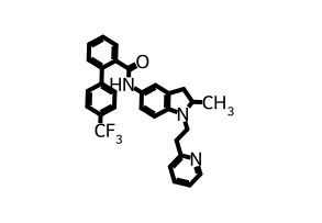 CC1Cc2cc(NC(=O)c3ccccc3-c3ccc(C(F)(F)F)cc3)ccc2N1CCc1ccccn1